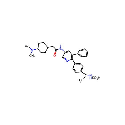 CC(=O)N(C)C1CCC(CC(=O)Nc2cnc(-c3ccc([C@H](C)NC(=O)O)cc3)c(-c3ccccc3)c2)CC1